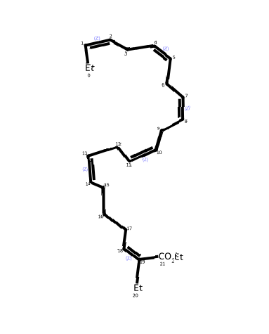 CC/C=C\C/C=C\C/C=C\C/C=C\C/C=C\CCC/C=C(/CC)C(=O)OCC